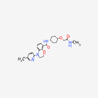 CNC(=O)CO[C@H]1CC[C@H](NC(=O)c2cccc3c2OCCN3c2ccc(C)cn2)CC1